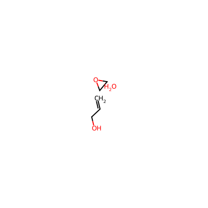 C1CO1.C=CCO.O